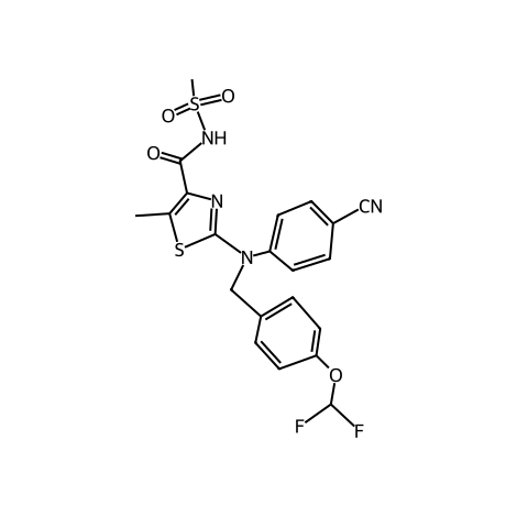 Cc1sc(N(Cc2ccc(OC(F)F)cc2)c2ccc(C#N)cc2)nc1C(=O)NS(C)(=O)=O